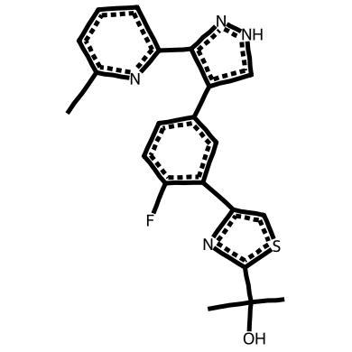 Cc1cccc(-c2n[nH]cc2-c2ccc(F)c(-c3csc(C(C)(C)O)n3)c2)n1